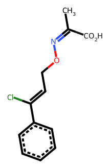 C/C(=N/OC/C=C(\Cl)c1ccccc1)C(=O)O